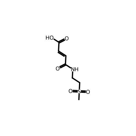 CS(=O)(=O)CCNC(=O)C=CC(=O)O